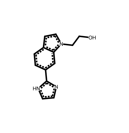 OCCn1ccc2ccc(-c3ncc[nH]3)cc21